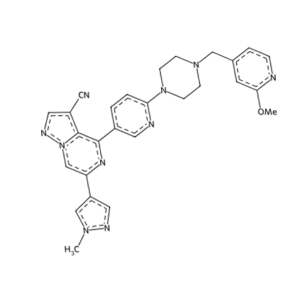 COc1cc(CN2CCN(c3ccc(-c4nc(-c5cnn(C)c5)cn5ncc(C#N)c45)cn3)CC2)ccn1